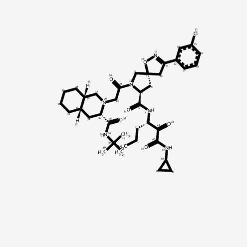 CCC[C@H](NC(=O)[C@@H]1C[C@]2(CC(c3cccc(Cl)c3)=NO2)CN1C(=O)CN1C[C@H]2CCCC[C@H]2C[C@H]1C(=O)NC(C)(C)C)C(=O)C(=O)NC1CC1